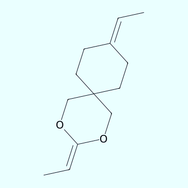 CC=C1CCC2(CC1)COC(=CC)OC2